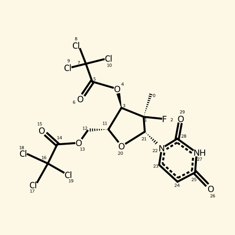 C[C@@]1(F)[C@H](OC(=O)C(Cl)(Cl)Cl)[C@@H](COC(=O)C(Cl)(Cl)Cl)O[C@H]1n1ccc(=O)[nH]c1=O